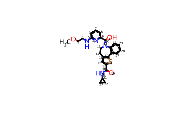 COCCNc1cccc(C(O)N2CCc3cc(C(=O)NC4CC4)sc3-c3ccccc32)n1